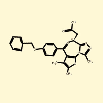 Cc1sc2c(c1C)C(c1ccc(OCc3ccccc3)cc1)=N[C@@H](CC(=O)O)c1nnc(C)n1-2